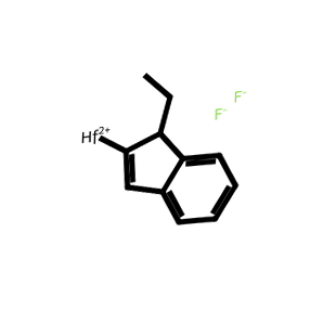 CCC1[C]([Hf+2])=Cc2ccccc21.[F-].[F-]